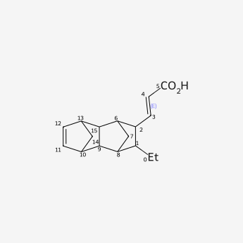 CCC1C(/C=C/C(=O)O)C2CC1C1C3C=CC(C3)C21